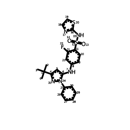 CC(C)(C)c1cc(Nc2ccc(S(=O)(=O)Nc3nccs3)c(F)c2)n(-c2ccccc2)n1